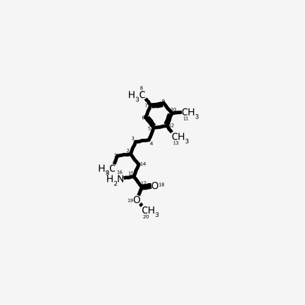 CCC(CCc1cc(C)cc(C)c1C)CC(N)C(=O)OC